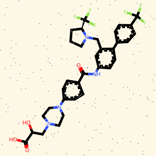 O=C(Nc1ccc(-c2ccc(C(F)(F)F)cc2)c(CN2CCC[C@H]2C(F)(F)F)c1)c1ccc(N2CCN(CC(O)C(=O)O)CC2)cc1